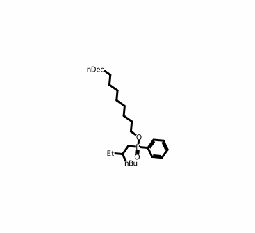 CCCCCCCCCCCCCCCCCCOP(=O)(CC(CC)CCCC)c1ccccc1